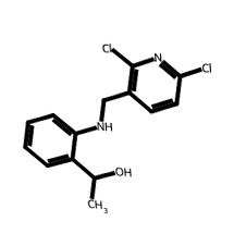 CC(O)c1ccccc1NCc1ccc(Cl)nc1Cl